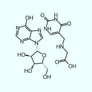 O=C(O)CNCc1c[nH]c(=O)[nH]c1=O.OC[C@H]1O[C@@H](n2cnc3c(O)ncnc32)[C@H](O)[C@@H]1O